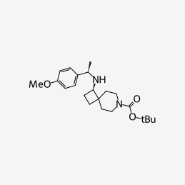 COc1ccc([C@@H](C)N[C@@H]2CCC23CCN(C(=O)OC(C)(C)C)CC3)cc1